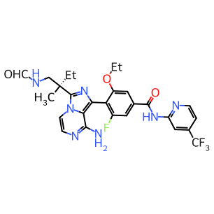 CCOc1cc(C(=O)Nc2cc(C(F)(F)F)ccn2)cc(F)c1-c1nc([C@](C)(CC)CNC=O)n2ccnc(N)c12